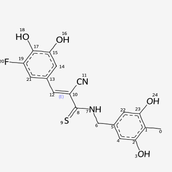 Cc1c(O)cc(CNC(=S)/C(C#N)=C/c2cc(O)c(O)c(F)c2)cc1O